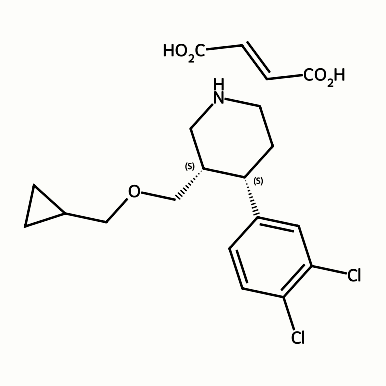 Clc1ccc([C@H]2CCNC[C@H]2COCC2CC2)cc1Cl.O=C(O)C=CC(=O)O